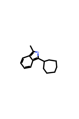 CC1=c2ccccc2=C(C2CCCCCC2)[N]1